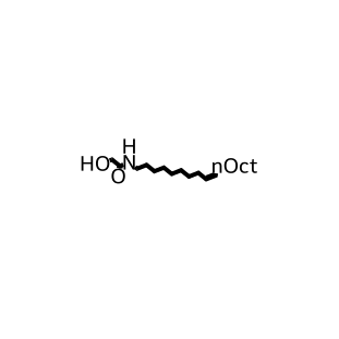 CCCCCCCC/C=C\CCCCCCCCNC(=O)CO